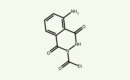 CCC(=O)n1[nH]c(=O)c2c(N)cccc2c1=O